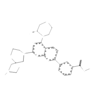 CNC(=O)c1cccc(-c2ccc3c(N4CCOC[C@@H]4C)nc(N4CCO[C@@]5(CC[S+]([O-])C5)C4)nc3n2)c1